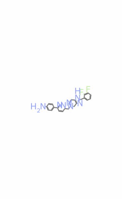 Nc1ccc(-c2ccc(CN3Cc4nc(-c5cccc(F)c5F)[nH]c4C=N3)nn2)cc1